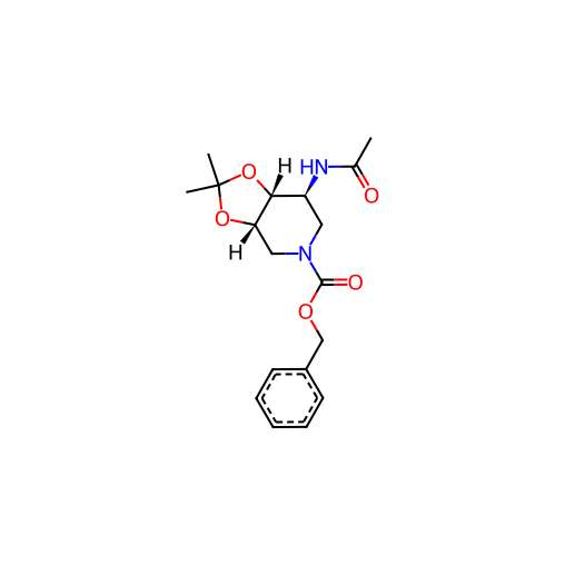 CC(=O)N[C@H]1CN(C(=O)OCc2ccccc2)C[C@@H]2OC(C)(C)O[C@H]12